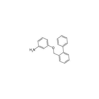 Nc1cccc(OCc2ccccc2-c2ccccc2)c1